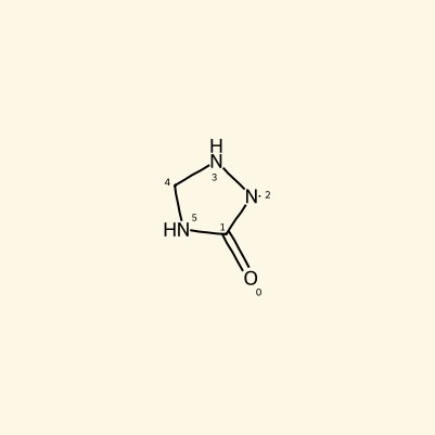 O=C1[N]NCN1